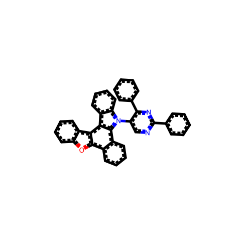 c1ccc(-c2ncc(-n3c4ccccc4c4c5c6ccccc6oc5c5ccccc5c43)c(-c3ccccc3)n2)cc1